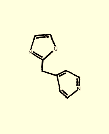 c1cc(Cc2ncco2)ccn1